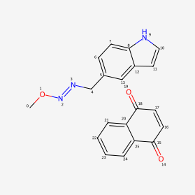 CON=NCc1ccc2[nH]ccc2c1.O=C1C=CC(=O)c2ccccc21